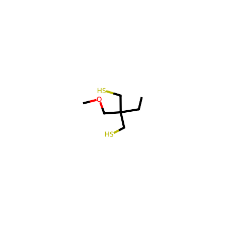 CCC(CS)(CS)COC